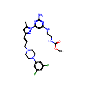 Cc1cc(/C=C/CN2CCN(c3cc(F)cc(F)c3)CC2)nn1-c1cc(NCCNC(=O)OC(C)(C)C)nc(N)n1